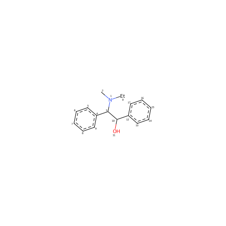 CCN(C)C(c1ccccc1)C(O)c1ccccc1